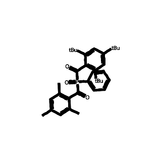 Cc1cc(C)c(C(=O)P(=O)(C(=O)c2c(C(C)(C)C)cc(C(C)(C)C)cc2C(C)(C)C)c2ccccc2)c(C)c1